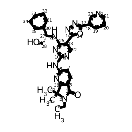 CCN1C(=O)c2ccc(Nc3ncc(-c4nnc(-c5cccnc5)o4)c(N[C@H](CO)c4ccccc4)n3)nc2C1(C)C